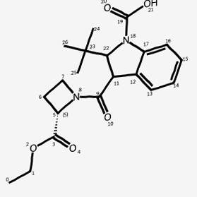 CCOC(=O)[C@@H]1CCN1C(=O)C1c2ccccc2N(C(=O)O)C1C(C)(C)C